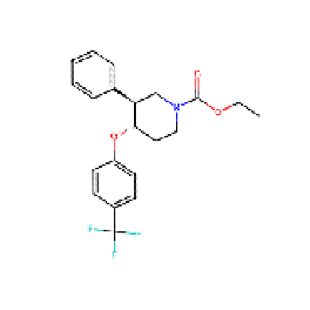 CCOC(=O)N1CC[C@H](Oc2ccc(C(F)(F)F)cc2)[C@@H](c2ccccc2)C1